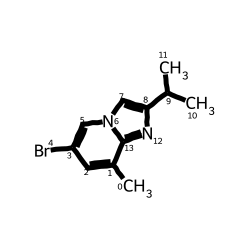 Cc1cc(Br)cn2cc(C(C)C)nc12